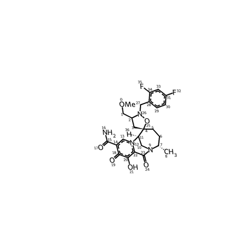 COCC1C[C@]2(CC[C@H](C)N3C[C@H]2n2cc(C(N)=O)c(=O)c(O)c2C3=O)ON1Cc1ccc(F)cc1F